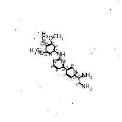 COc1cc(Nc2nccc(-c3ccc(C(N)CN)nc3)n2)cc(OC)c1OC